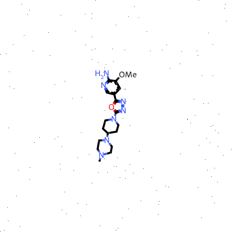 COc1cc(-c2nnc(N3CCC(N4CCN(C)CC4)CC3)o2)cnc1N